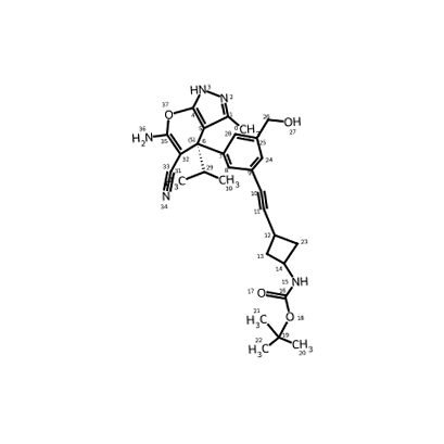 Cc1n[nH]c2c1[C@](c1cc(C#CC3CC(NC(=O)OC(C)(C)C)C3)cc(CO)c1)(C(C)C)C(C#N)=C(N)O2